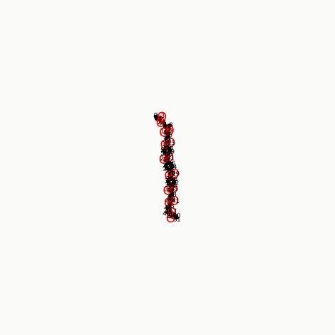 C=CC(=O)OCCC(C)OC(=O)CCC(=O)Oc1ccc(OC(=O)C2CCC(C(=O)Oc3ccc(OC(=O)CCC(=O)OCCC(C)OC(=O)C=C)cc3)CC2)cc1